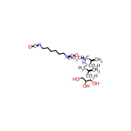 C=C(C)C(=O)O.C=C(C)C(=O)O.CCOC(N)=O.O=C=NCCCCCCN=C=O.OCC(O)CO